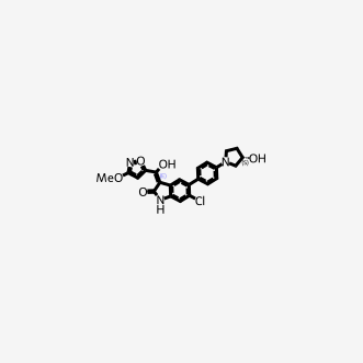 COc1cc(/C(O)=C2\C(=O)Nc3cc(Cl)c(-c4ccc(N5CC[C@H](O)C5)cc4)cc32)on1